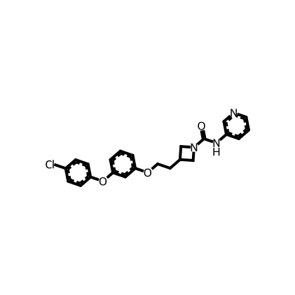 O=C(Nc1cccnc1)N1CC(CCOc2cccc(Oc3ccc(Cl)cc3)c2)C1